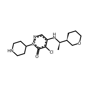 C[C@@H](Nc1cnn(C2CCNCC2)c(=O)c1Cl)[C@H]1CCCOC1